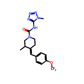 CC1CN(C(=O)Nc2nnnn2C)CC/C1=C\c1ccc(OC(F)(F)F)cc1